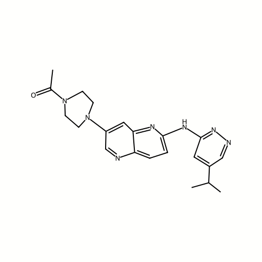 CC(=O)N1CCN(c2cnc3ccc(Nc4cc(C(C)C)cnn4)nc3c2)CC1